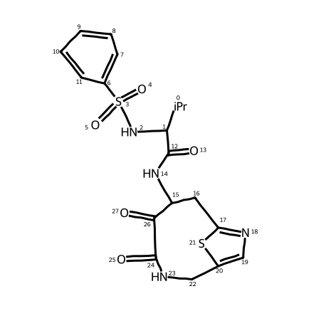 CC(C)C(NS(=O)(=O)c1ccccc1)C(=O)NC1Cc2ncc(s2)CNC(=O)C1=O